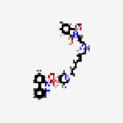 C[N+](C)(CCCCCCCN1CCC(OC(=O)Nc2ccccc2-c2ccccc2)CC1)CCCN1C(=O)c2ccccc2C1=O